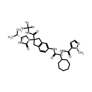 [2H]C([2H])([2H])NC(=O)C1(N2C[C@@H](C(C)C)NC2=O)Cc2ccc(NC(=O)[C@@H](NC(=O)c3ccnn3C)C3CCCCCC3)cc2C1